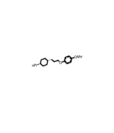 CCC[C@H]1CC[C@H](CCCOc2ccc(OC)cc2)CC1